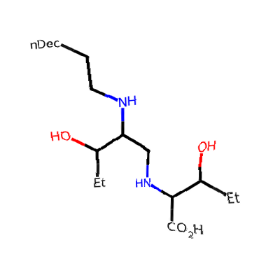 CCCCCCCCCCCCNC(CNC(C(=O)O)C(O)CC)C(O)CC